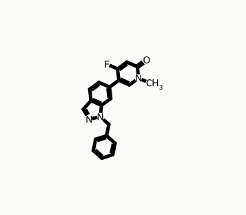 Cn1cc(-c2ccc3cnn(Cc4ccccc4)c3c2)c(F)cc1=O